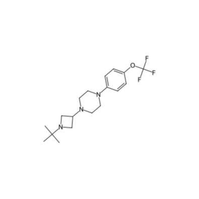 CC(C)(C)N1CC(N2CCN(c3ccc(OC(F)(F)F)cc3)CC2)C1